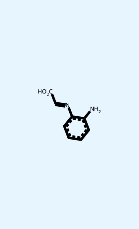 Nc1ccccc1N=CC(=O)O